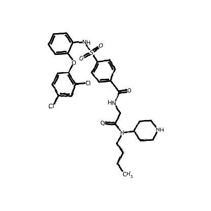 CCCCN(C(=O)CNC(=O)c1ccc(S(=O)(=O)Nc2ccccc2Oc2ccc(Cl)cc2Cl)cc1)C1CCNCC1